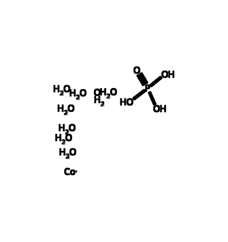 O.O.O.O.O.O.O.O.O=P(O)(O)O.[Co]